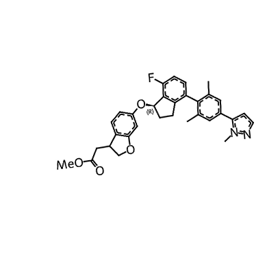 COC(=O)CC1COc2cc(O[C@@H]3CCc4c(-c5c(C)cc(-c6ccnn6C)cc5C)ccc(F)c43)ccc21